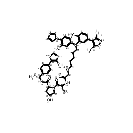 Cc1ccc(-c2c(C)noc2C)cc1N(CCCCCOCC(=O)N[C@H](C(=O)N1C[C@H](O)C[C@H]1C(=O)N[C@@H](C)c1ccc(-c2scnc2C)cc1)C(C)(C)C)c1ccc(-n2ccnc2)c(C(F)(F)F)c1